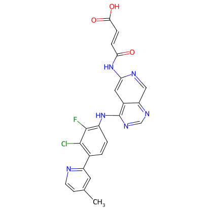 Cc1ccnc(-c2ccc(Nc3ncnc4cnc(NC(=O)C=CC(=O)O)cc34)c(F)c2Cl)c1